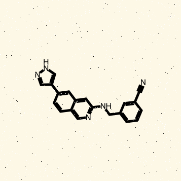 N#Cc1cccc(CNc2cc3cc(-c4cn[nH]c4)ccc3cn2)c1